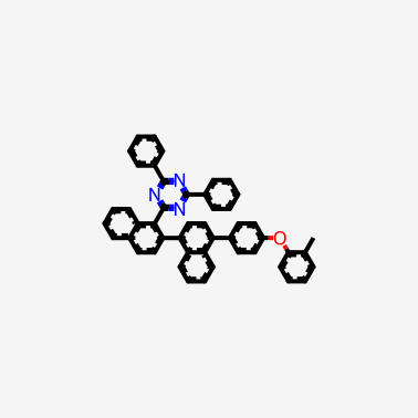 Cc1ccccc1Oc1ccc(-c2ccc(-c3ccc4ccccc4c3-c3nc(-c4ccccc4)nc(-c4ccccc4)n3)c3ccccc23)cc1